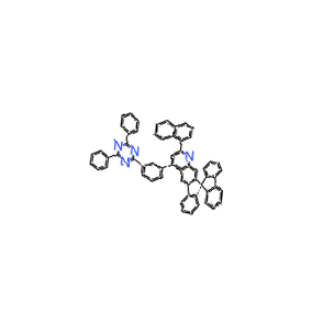 c1ccc(-c2nc(-c3ccccc3)nc(-c3cccc(-c4cc(-c5cccc6ccccc56)nc5cc6c(cc45)-c4ccccc4C64c5ccccc5-c5ccccc54)c3)n2)cc1